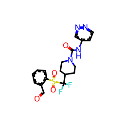 O=Cc1ccccc1S(=O)(=O)C(F)(F)C1CCN(C(=O)Nc2ccnnc2)CC1